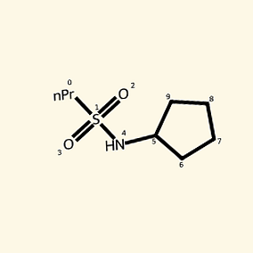 CCCS(=O)(=O)NC1CCCC1